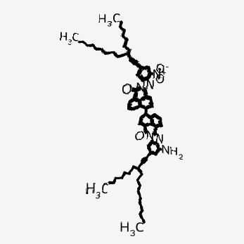 CCCCCCCCCCC(C#Cc1cc(N)c2nc3c4cccc5c(-c6ccc7c8c6cccc8c(=O)n6c8cc(C#CC(CCCCCCCC)CCCCCCCCCC)cc([N+](=O)[O-])c8nc76)ccc(c(=O)n3c2c1)c54)CCCCCCCC